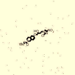 CC(C)(C)OC(=O)N1CCc2cc(OC[C@@H](O)CCn3cc([N+](=O)[O-])nc3Cl)ccc2C1